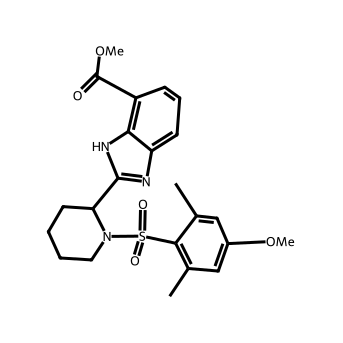 COC(=O)c1cccc2nc(C3CCCCN3S(=O)(=O)c3c(C)cc(OC)cc3C)[nH]c12